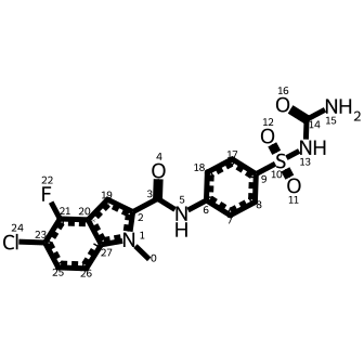 Cn1c(C(=O)Nc2ccc(S(=O)(=O)NC(N)=O)cc2)cc2c(F)c(Cl)ccc21